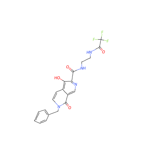 O=C(NCCNC(=O)C(F)(F)F)c1ncc2c(=O)n(Cc3ccccc3)ccc2c1O